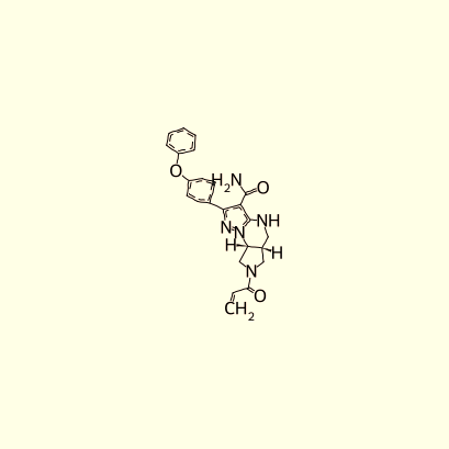 C=CC(=O)N1C[C@H]2CNc3c(C(N)=O)c(-c4ccc(Oc5ccccc5)cc4)nn3[C@H]2C1